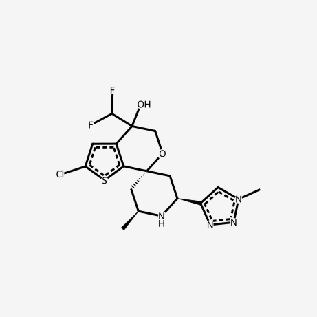 C[C@H]1C[C@@]2(C[C@@H](c3cn(C)nn3)N1)OCC(O)(C(F)F)c1cc(Cl)sc12